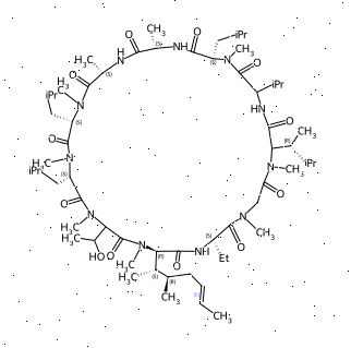 C/C=C/C[C@@H](C)[C@H](C)[C@@H]1C(=O)N[C@@H](CC)C(=O)N(C)CC(=O)N(C)C([C@H](C)C(C)C)C(=O)NC(C(C)C)C(=O)N(C)[C@@H](CC(C)C)C(=O)N[C@@H](C)C(=O)N[C@@H](C)C(=O)N(C)[C@@H](CC(C)C)C(=O)N(C)[C@@H](CC(C)C)C(=O)N(C)C(C(C)O)C(=O)N1C